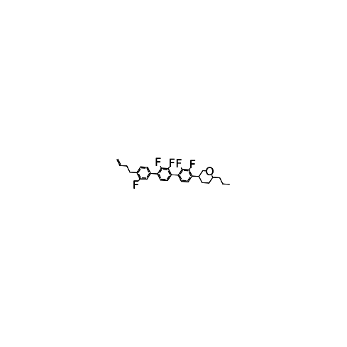 C=CCCc1ccc(-c2ccc(-c3ccc(C4CCC(CCC)OC4)c(F)c3F)c(F)c2F)cc1F